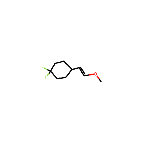 COC=CC1CCC(F)(F)CC1